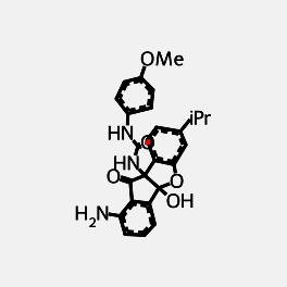 COc1ccc(NC(=O)NC23C(=O)c4c(N)cccc4C2(O)Oc2cc(C(C)C)ccc23)cc1